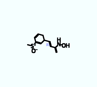 C=C(/C=C/C1C=C([S+](C)[O-])C=CC1)NO